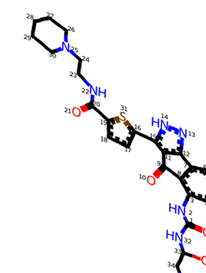 O=C(Nc1cccc2c1C(=O)c1c-2n[nH]c1-c1ccc(C(=O)NCCN2CCCCC2)s1)NC1CNCCO1